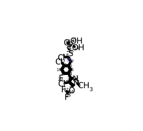 Cn1nc(-c2cc(/C=C(\Cl)SSP(=O)(O)O)c(Cl)cc2F)c(Cl)c1OC(F)F